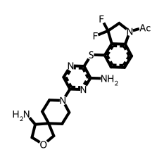 CC(=O)N1CC(F)(F)c2c(Sc3ncc(N4CCC5(CC4)COCC5N)nc3N)cccc21